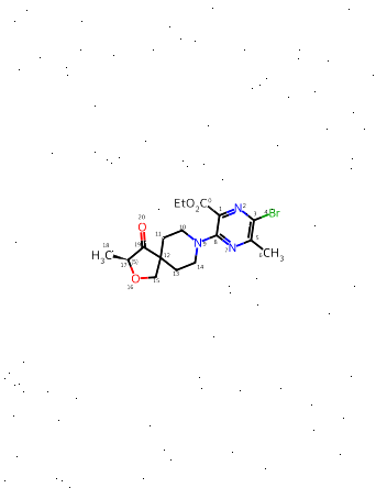 CCOC(=O)c1nc(Br)c(C)nc1N1CCC2(CC1)CO[C@@H](C)C2=O